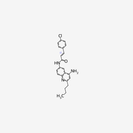 CCCCc1cc(N)c2cc(NC(=O)/C=C/c3ccc(Cl)cc3)ccc2n1